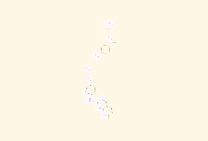 CC(=O)c1c(C)c2cnc(Nc3ccc(N4CCN(CC5CN(c6ccc7c(c6)C(=O)N(C6CCC(=O)NC6=O)C7=O)C5)CC4)cn3)nc2n(C2CCCC2)c1=O